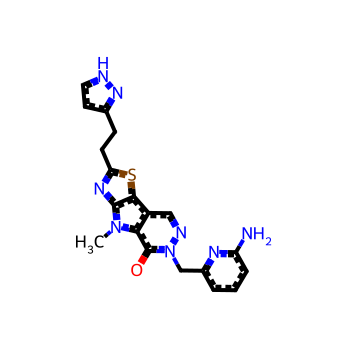 Cn1c2nc(CCc3cc[nH]n3)sc2c2cnn(Cc3cccc(N)n3)c(=O)c21